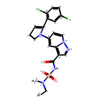 CC(C)CN(C)S(=O)(=O)NC(=O)c1cnn2ccc(N3CCC=C3c3cc(F)ccc3F)cc12